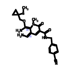 CSC1(CO/C(N)=c2/c(=C\N)cc(C(=O)NCc3ccc(C#N)cc3)c(=O)n2C)CC1